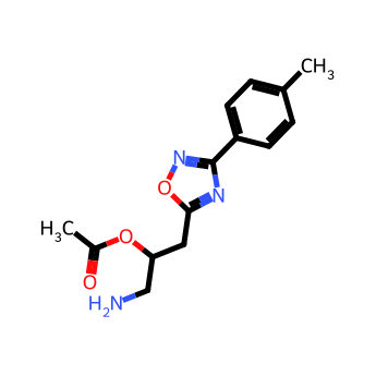 CC(=O)OC(CN)Cc1nc(-c2ccc(C)cc2)no1